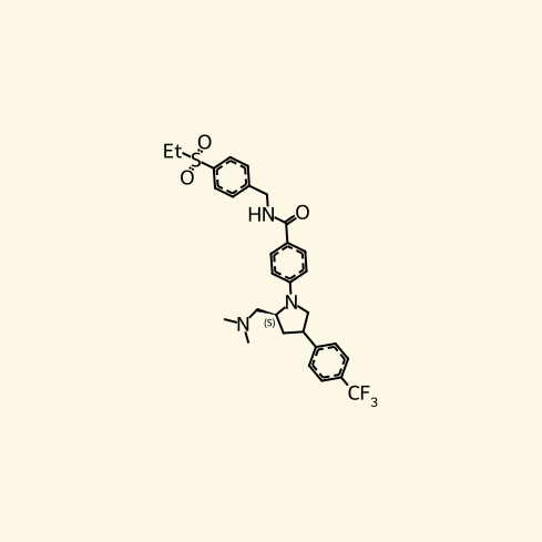 CCS(=O)(=O)c1ccc(CNC(=O)c2ccc(N3CC(c4ccc(C(F)(F)F)cc4)C[C@H]3CN(C)C)cc2)cc1